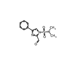 CN(C)S(=O)(=O)n1cc(-c2ccccc2)nc1C=O